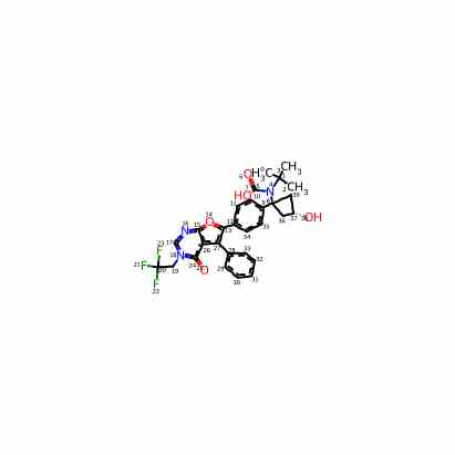 CC(C)(C)N(C(=O)O)[C@]1(c2ccc(-c3oc4ncn(CC(F)(F)F)c(=O)c4c3-c3ccccc3)cc2)C[C@@H](O)C1